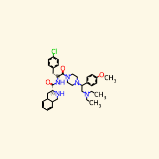 CCN(CC)CC(c1ccc(OC)cc1)N1CCN(C(=O)[C@@H](Cc2ccc(Cl)cc2)NC(=O)[C@H]2CC3C=CC=CC3CN2)CC1